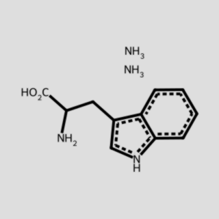 N.N.NC(Cc1c[nH]c2ccccc12)C(=O)O